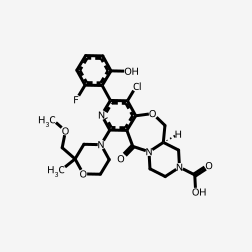 COCC1(C)CN(c2nc(-c3c(O)cccc3F)c(Cl)c3c2C(=O)N2CCN(C(=O)O)C[C@@H]2CO3)CCO1